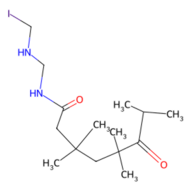 CC(C)C(=O)C(C)(C)CC(C)(C)CC(=O)NCNCI